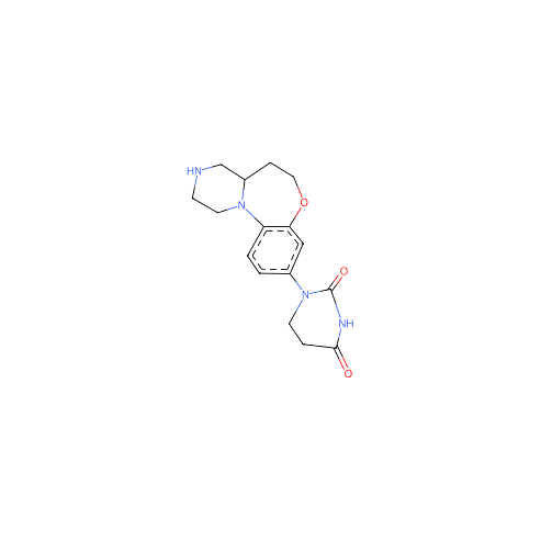 O=C1CCN(c2ccc3c(c2)OCCC2CNCCN32)C(=O)N1